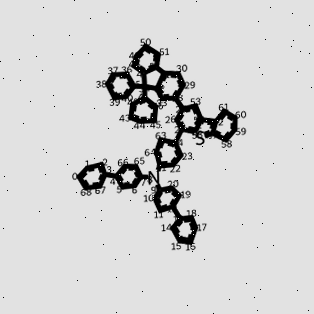 c1ccc(-c2ccc(N(c3ccc(-c4ccccc4)cc3)c3ccc(-c4cc(-c5ccc6c(c5)C(c5ccccc5)(c5ccccc5)c5ccccc5-6)cc5c4sc4ccccc45)cc3)cc2)cc1